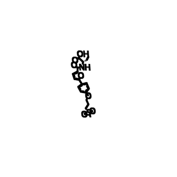 CC[C@H](NC(=O)c1ccc(-c2ccc(OCCCS(C)(=O)=O)cc2)o1)C(=O)O